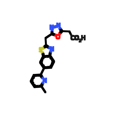 Cc1cccc(-c2ccc3nc(Cc4nnc(CC(=O)O)o4)sc3c2)n1